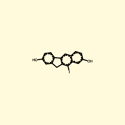 Oc1ccc2c(c1)Cc1c-2cc2ccc(O)cc2c1I